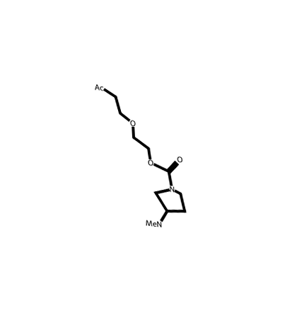 CNC1CCN(C(=O)OCCOCCC(C)=O)C1